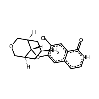 N[C@H]1C[C@H]2COC[C@@H](C1)[C@@H]2Oc1cc2cc[nH]c(=O)c2cc1Cl